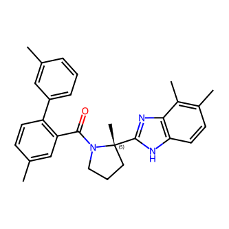 Cc1cccc(-c2ccc(C)cc2C(=O)N2CCC[C@@]2(C)c2nc3c(C)c(C)ccc3[nH]2)c1